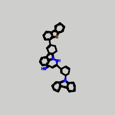 N=C/C=C(\Nn1c2c(c3ccccc31)C=C(c1cccc3c1sc1ccccc13)CC2)C1=CC(n2c3ccccc3c3ccccc32)CC=C1